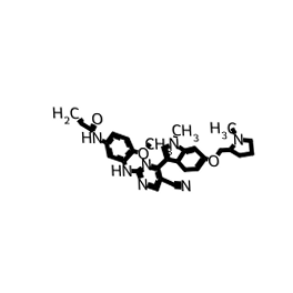 C=CC(=O)Nc1ccc(OC)c(Nc2ncc(C#N)c(C3=CN(C)C4=CC(OCC5CCCN5C)=CCC34)n2)c1